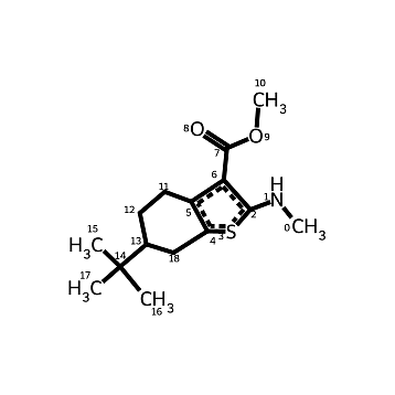 CNc1sc2c(c1C(=O)OC)CCC(C(C)(C)C)C2